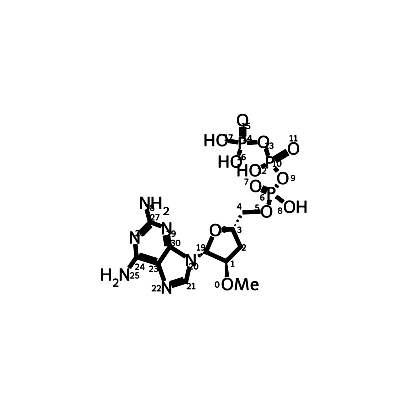 CO[C@@H]1C[C@@H](COP(=O)(O)OP(=O)(O)OP(=O)(O)O)O[C@H]1n1cnc2c(N)nc(N)nc21